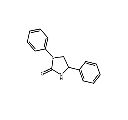 O=C1NC(c2ccccc2)CN1c1ccccc1